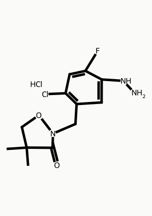 CC1(C)CON(Cc2cc(NN)c(F)cc2Cl)C1=O.Cl